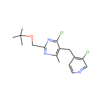 Cc1nc(COC(C)(C)C)nc(Cl)c1Cc1ccncc1Cl